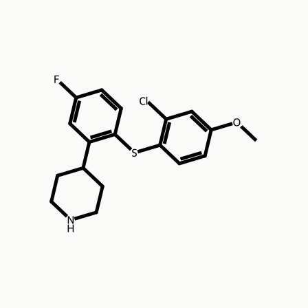 COc1ccc(Sc2ccc(F)cc2C2CCNCC2)c(Cl)c1